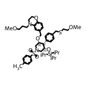 COCCCN1CCOc2ccc(CO[C@H]3CN(S(=O)(=O)c4ccc(C)cc4)C[C@@H](O[Si](C(C)C)(C(C)C)C(C)C)[C@H]3c3ccc(CSCCOC)cc3)cc21